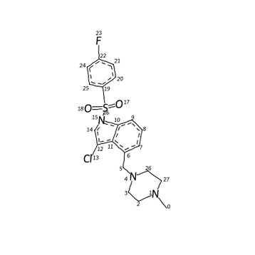 CN1CCN(Cc2cccc3c2c(Cl)cn3S(=O)(=O)c2ccc(F)cc2)CC1